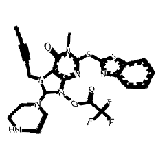 CC#CCN1c2c(nc(Sc3nc4ccccc4s3)n(C)c2=O)N(OC(=O)C(F)(F)F)C1N1CCNCC1